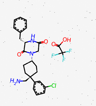 NC[C@]1(c2cccc(Cl)c2)CC[C@@H](N2CC(=O)N[C@@H](Cc3ccccc3)C2=O)CC1.O=C(O)C(F)(F)F